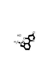 Cl.Cn1cc2cccc(-c3ncc(Cl)cc3Cl)c2n1